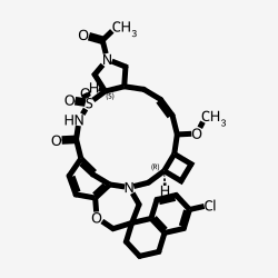 COC1C=CCC2CN(C(C)=O)C[C@H]2S(=O)(=O)NC(=O)c2ccc3c(c2)N(C[C@@H]2CCC12)CC1(CCCc2cc(Cl)ccc21)CO3